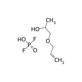 C=CCOCC(C)O.O=P(O)(F)F